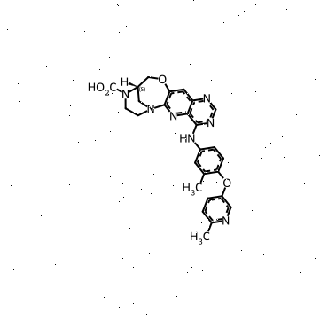 Cc1ccc(Oc2ccc(Nc3ncnc4cc5c(nc34)N3CCN(C(=O)O)[C@H](CO5)C3)cc2C)cn1